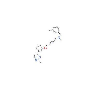 Cc1cccc(CN(C)C/C=C/CCOc2cccc(-c3ccnc(C)n3)c2)c1